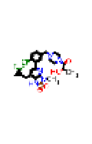 C[C@@H](O)C(=O)N1CCN(Cc2ccc(Cl)c(-c3cc(CC4CC4(F)F)c4c(n3)N(C)S(=O)(=O)N4)c2)CC1